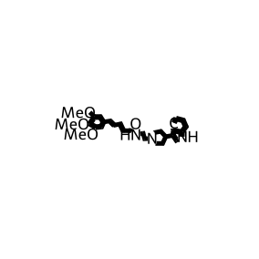 COc1cc(C=CC=CC(=O)NCCN2CCC(c3c[nH]c4ccccc34)CC2)cc(OC)c1OC